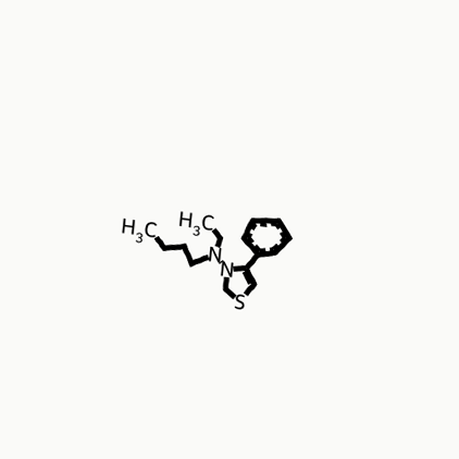 CCCCN(CC)N1CSC=C1c1ccccc1